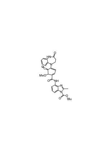 COC1C(=C=O)C(N2CCC(=O)Nc3ccccc32)=CC=C1C(=O)Nc1cccc2c1nc(C)n2C(=O)OC(C)(C)C